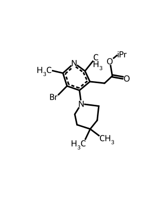 Cc1nc(C)c(CC(=O)OC(C)C)c(N2CCC(C)(C)CC2)c1Br